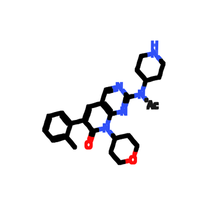 CC(=O)N(c1ncc2cc(-c3ccccc3C)c(=O)n(C3CCOCC3)c2n1)C1CCNCC1